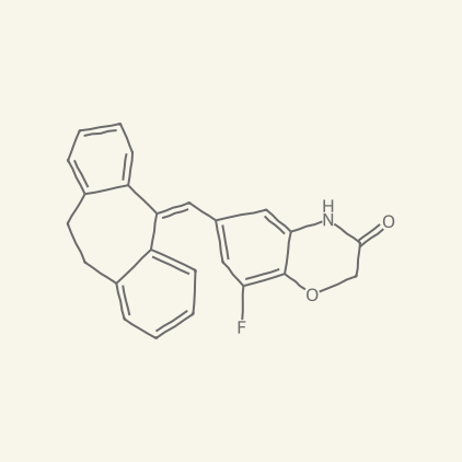 O=C1COc2c(F)cc(C=C3c4ccccc4CCc4ccccc43)cc2N1